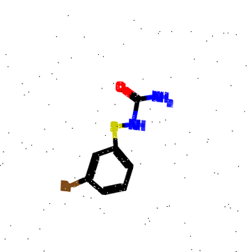 NC(=O)NSc1cccc(Br)c1